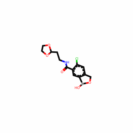 O=C(NCCC1OCCO1)c1cc2c(cc1Cl)COB2O